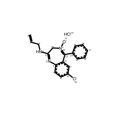 C=CCNC1=Nc2ccc(Cl)cc2C(c2ccccc2)=[N+]([O-])C1.Cl